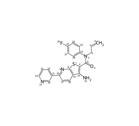 C=CCN(C(=O)c1sc2nc(-c3cccnc3)ccc2c1N)c1ccc(F)cc1